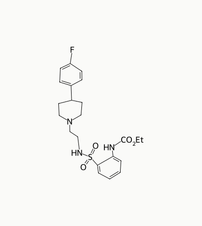 CCOC(=O)Nc1ccccc1S(=O)(=O)NCCN1CCC(c2ccc(F)cc2)CC1